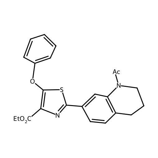 CCOC(=O)c1nc(-c2ccc3c(c2)N(C(C)=O)CCC3)sc1Oc1ccccc1